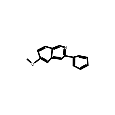 COc1ccc2cnc(-c3ccccc3)cc2c1